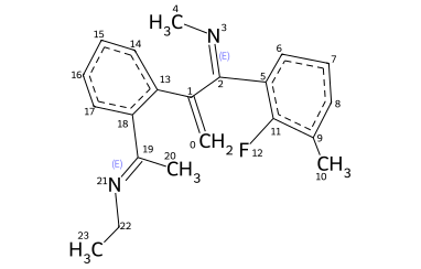 C=C(/C(=N\C)c1cccc(C)c1F)c1ccccc1/C(C)=N/CC